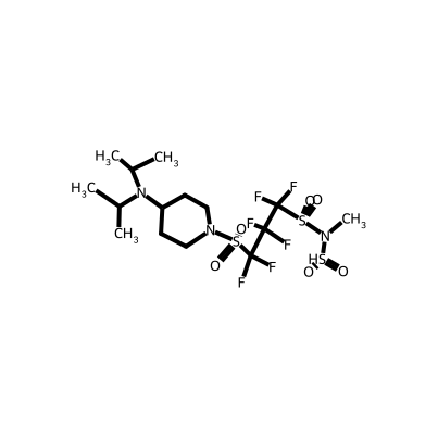 CC(C)N(C(C)C)C1CCN(S(=O)(=O)C(F)(F)C(F)(F)C(F)(F)S(=O)(=O)N(C)[SH](=O)=O)CC1